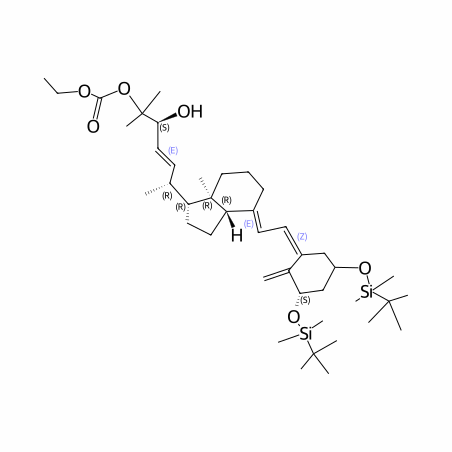 C=C1/C(=C\C=C2/CCC[C@]3(C)[C@@H]([C@H](C)/C=C/[C@H](O)C(C)(C)OC(=O)OCC)CC[C@@H]23)CC(O[Si](C)(C)C(C)(C)C)C[C@@H]1O[Si](C)(C)C(C)(C)C